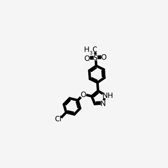 CS(=O)(=O)c1ccc(-c2[nH]ncc2Oc2ccc(Cl)cc2)cc1